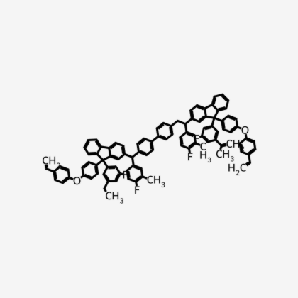 C=Cc1ccc(Oc2ccc(C3(c4cc(F)cc(C(=C)C)c4)c4ccccc4-c4ccc(C(Cc5ccc(-c6ccc(C(c7ccc(F)c(C)c7)c7ccc8c(c7)C(c7ccc(Oc9ccc(C=C)cc9)cc7)(c7cc(F)cc(CC)c7)c7ccccc7-8)cc6)cc5)c5ccc(F)c(C)c5)cc43)cc2)cc1